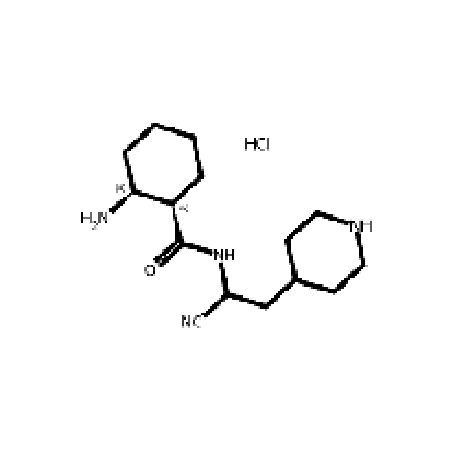 Cl.N#CC(CC1CCNCC1)NC(=O)[C@@H]1CCCC[C@@H]1N